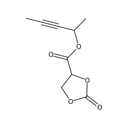 CC#CC(C)OC(=O)C1COC(=O)O1